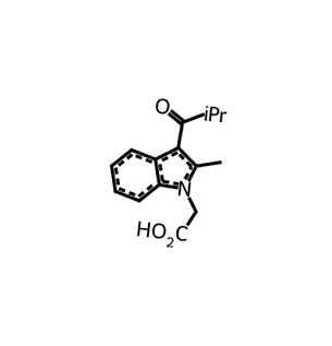 Cc1c(C(=O)C(C)C)c2ccccc2n1CC(=O)O